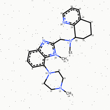 CCN(Cc1nc2cccc(N3CCN(C)CC3)c2n1C)C1CCCc2cccnc21